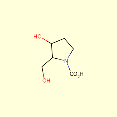 O=C(O)N1CCC(O)C1CO